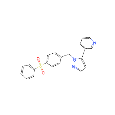 O=S(=O)(c1ccccc1)c1ccc(Cn2nccc2-c2cccnc2)cc1